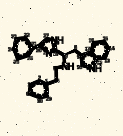 c1ccc(CCN[C@H](Cc2c[nH]c3ccccc23)c2nc(-c3ccccc3)c[nH]2)cc1